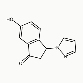 O=C1CC(n2cccn2)c2ccc(O)cc21